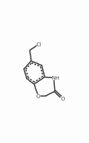 O=C1COc2ccc(CCl)cc2N1